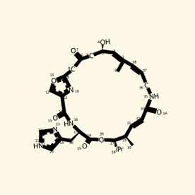 CC1=C\[C@@H](O)CC(=O)Cc2nc(co2)C(=O)N[C@H](Cc2c[nH]cn2)C(=O)O[C@H](C(C)C)[C@H](C)/C=C/C(=O)NC\C=C\1